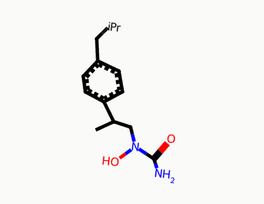 CC(C)Cc1ccc(C(C)CN(O)C(N)=O)cc1